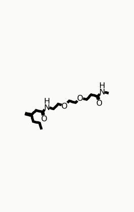 C=C(CCC)CC(=O)NCCOCCOCCC(=O)NC